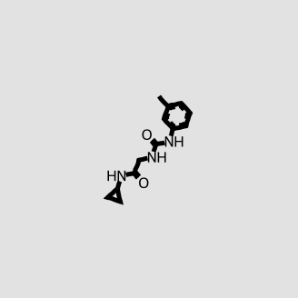 Cc1cccc(NC(=O)NCC(=O)NC2CC2)c1